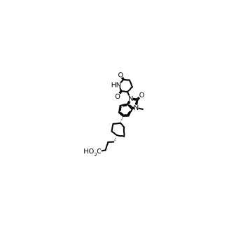 Cn1c(=O)n(C2CCC(=O)NC2=O)c2ccc([C@H]3CC[C@@H](CCCC(=O)O)CC3)cc21